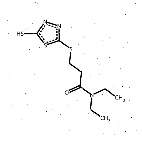 CCN(CC)C(=O)CCSc1nnc(S)s1